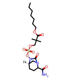 CCCCCCCOC(=O)C(C)(C)COS(=O)(=O)ON1C(=O)N2C[C@H]1CCC2C(N)=O